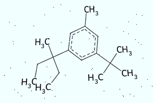 CCC(C)(CC)c1cc(C)cc(C(C)(C)C)c1